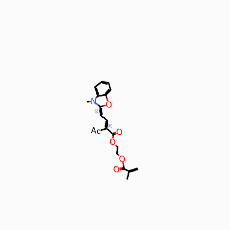 C=C(C)C(=O)OCCOC(=O)/C(=C/C=C1\Oc2ccccc2N1C)C(C)=O